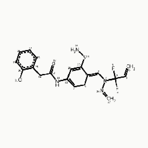 C=CC(F)(F)N(/C=C1\CC=C(NC(=O)Cc2ccccc2Cl)C=C1SN)N=C